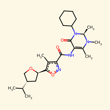 CC1=C(NC(=O)c2noc([C@H]3C[C@H](C(C)C)CO3)c2C)C(=O)N(C2CCCCC2)[C@@H](C)N1C